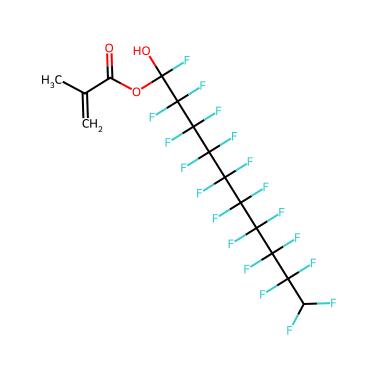 C=C(C)C(=O)OC(O)(F)C(F)(F)C(F)(F)C(F)(F)C(F)(F)C(F)(F)C(F)(F)C(F)(F)C(F)(F)C(F)F